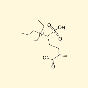 C=C(CCC([N+](CC)(CC)CCC)S(=O)(=O)O)C(=O)[O-]